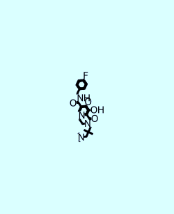 CN(C)CC(C)(C)CN1CCn2cc(C(=O)NCc3ccc(F)cc3)c(=O)c(O)c2C1=O